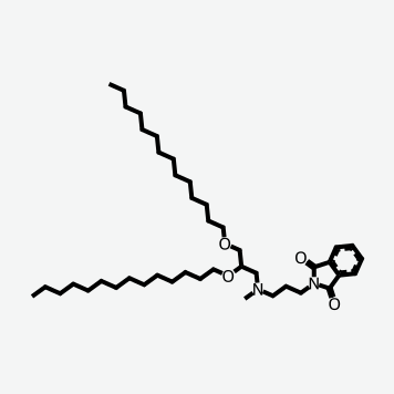 CCCCCCCCCCCCCCOCC(CN(C)CCCN1C(=O)c2ccccc2C1=O)OCCCCCCCCCCCCCC